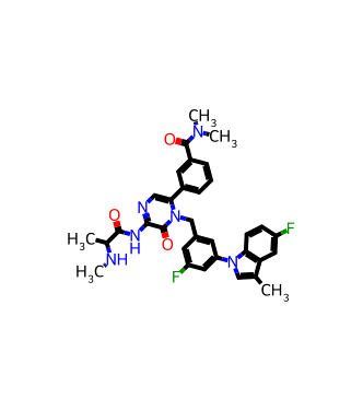 CNC(C)C(=O)Nc1ncc(-c2cccc(C(=O)N(C)C)c2)n(Cc2cc(F)cc(-n3cc(C)c4cc(F)ccc43)c2)c1=O